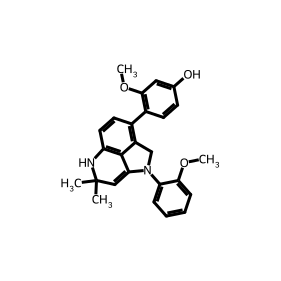 COc1cc(O)ccc1-c1ccc2c3c1CN(c1ccccc1OC)C3=CC(C)(C)N2